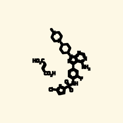 CN1CCN(C2CCC(n3nc(-c4ccc(NS(=O)(=O)c5ccc(Cl)s5)c(F)c4)c4c(N)ncnc43)CC2)CC1.O=C(O)C=CC(=O)O